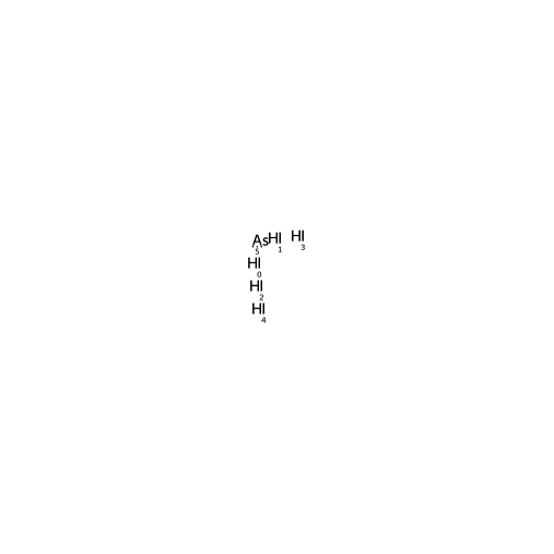 I.I.I.I.I.[As]